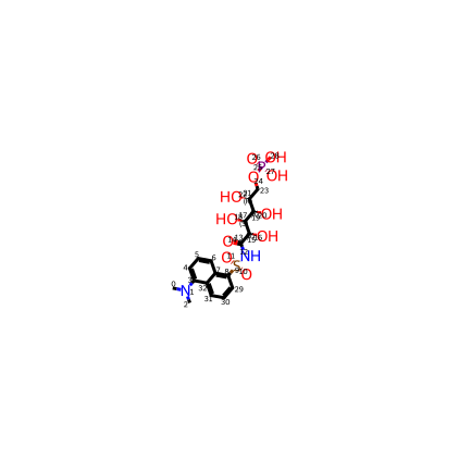 CN(C)c1cccc2c(S(=O)(=O)NC(=O)[C@H](O)[C@@H](O)[C@H](O)[C@H](O)COP(=O)(O)O)cccc12